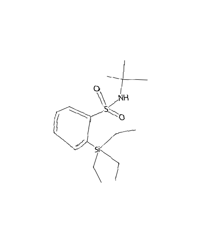 CC[Si](CC)(CC)c1ccccc1S(=O)(=O)NC(C)(C)C